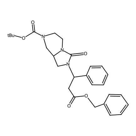 CC(C)(C)OC(=O)N1CCN2C(=O)N(C(CC(=O)OCc3ccccc3)c3ccccc3)CC2C1